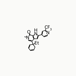 CCC1(c2cn(C)c(=O)c3[nH]c(-c4ccnc(C(F)(F)F)c4)cc23)C=CC=CC1